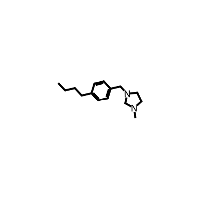 CCCCc1ccc(CN2CCN(C)C2)cc1